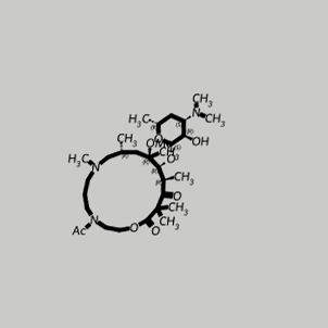 CO[C@]1(C)C[C@@H](C)CN(C)CCCN(C(C)=O)CCOC(=O)C(C)(C)C(=O)[C@H](C)[C@H]1O[C@@H]1O[C@H](C)C[C@H](N(C)C)[C@H]1O